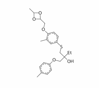 CCC(O)(COc1ccc(C)cc1)CSc1ccc(OCC2OC(C)O2)c(C)c1